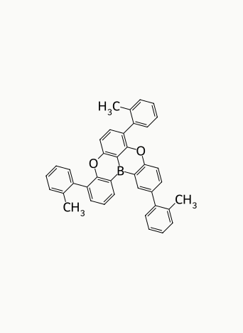 Cc1ccccc1-c1ccc2c(c1)B1c3cccc(-c4ccccc4C)c3Oc3ccc(-c4ccccc4C)c(c31)O2